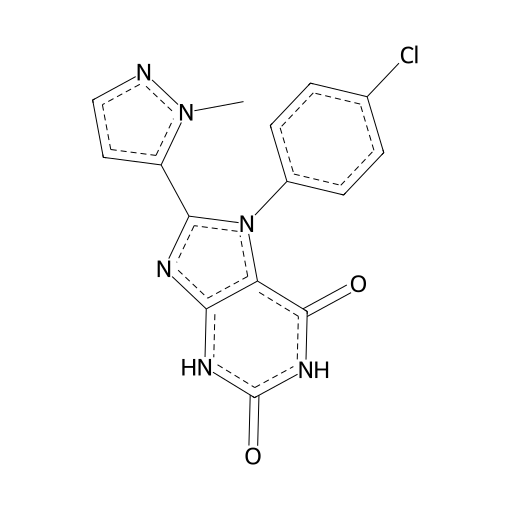 Cn1nccc1-c1nc2[nH]c(=O)[nH]c(=O)c2n1-c1ccc(Cl)cc1